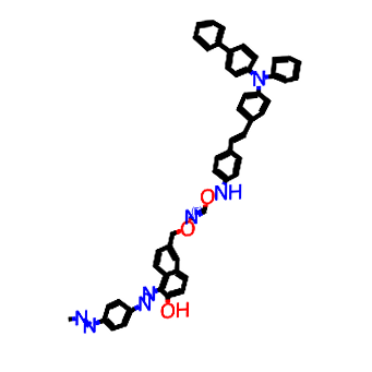 CN=Nc1ccc(N=Nc2c(O)ccc3cc(CO/N=C/ONc4ccc(C=Cc5ccc(N(c6ccccc6)c6ccc(-c7ccccc7)cc6)cc5)cc4)ccc23)cc1